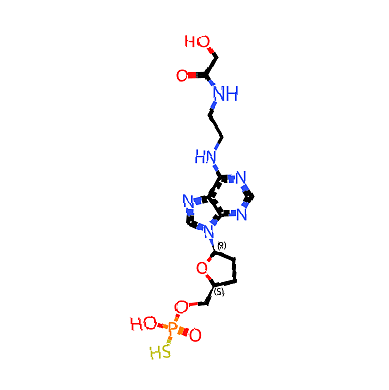 O=C(CO)NCCNc1ncnc2c1ncn2[C@H]1CC[C@@H](COP(=O)(O)S)O1